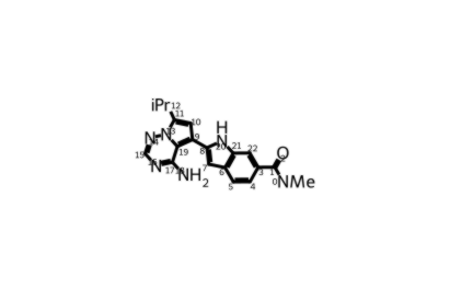 CNC(=O)c1ccc2cc(-c3cc(C(C)C)n4ncnc(N)c34)[nH]c2c1